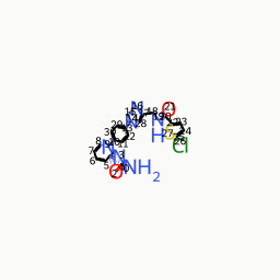 NC(=O)/N=c1\ccccn1-c1ccc(-n2cnc(CNC(=O)c3ccc(Cl)s3)c2)cc1